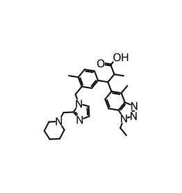 CCn1nnc2c(C)c(C(c3ccc(C)c(Cn4ccnc4CN4CCCCC4)c3)C(C)C(=O)O)ccc21